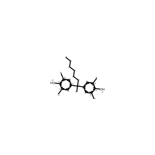 CCCCCCC(C)(c1cc(C)c(O)c(C)c1)c1cc(C)c(O)c(C)c1